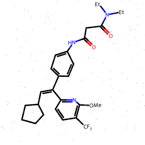 CCN(CC)C(=O)CC(=O)Nc1ccc(C(=CC2CCCC2)c2ccc(C(F)(F)F)c(OC)n2)cc1